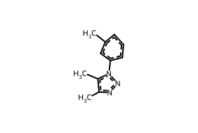 Cc1cccc(-n2nnc(C)c2C)c1